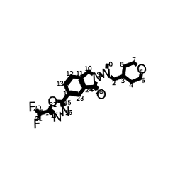 CN(CC1CCOCC1)N1Cc2ccc(-c3nnc(C(F)F)o3)cc2C1=O